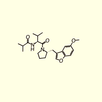 COc1ccc2occ(C[C@@H]3CCCN3C(=O)[C@@H](NC(=O)C(C)C)C(C)C)c2c1